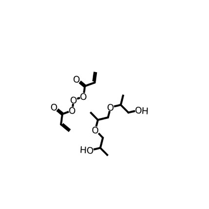 C=CC(=O)OOOC(=O)C=C.CC(O)COC(C)COC(C)CO